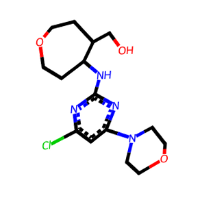 OCC1CCOCCC1Nc1nc(Cl)cc(N2CCOCC2)n1